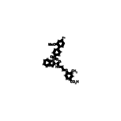 COc1cc(F)ccc1-c1ccc(S(=O)(=O)N2c3ccccc3C[C@H]2C(=O)NCCOc2ccc(C(=O)O)cc2C)cc1